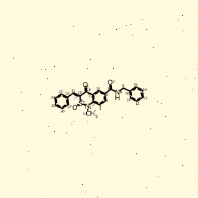 CN1c2ccc(C(=O)NCc3ccccc3)cc2C(=O)/C(=C/c2ccccc2)[S+]1[O-]